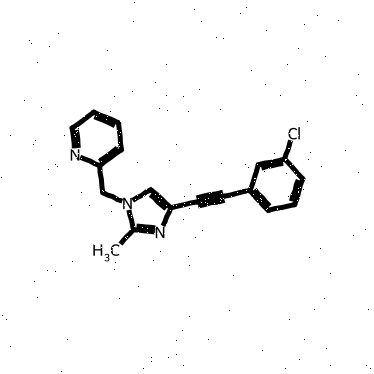 Cc1nc(C#Cc2cccc(Cl)c2)cn1Cc1ccccn1